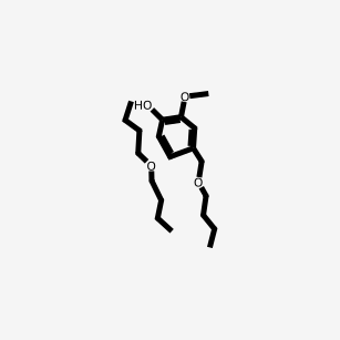 CCCCOCCCC.CCCCOCc1ccc(O)c(OC)c1